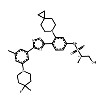 Cc1cc(-c2nnc(-c3ccc(NS(=O)(=O)[C@H](C)CO)cc3N3CCC4(CC3)CC4)o2)cc(N2CCC(F)(F)CC2)n1